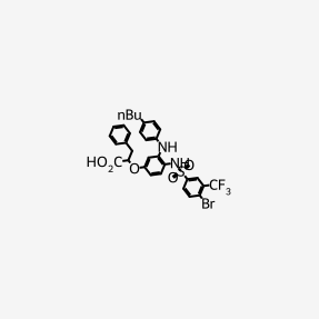 CCCCc1ccc(Nc2cc(OC(Cc3ccccc3)C(=O)O)ccc2NS(=O)(=O)c2ccc(Br)c(C(F)(F)F)c2)cc1